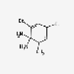 CCC1=CC(C)C(N)(N)C(CC)=C1